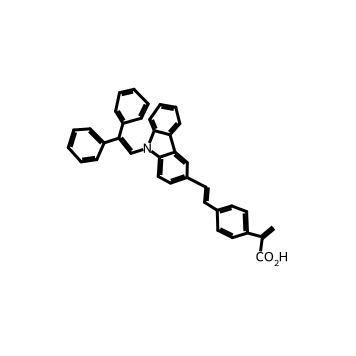 C=C(C(=O)O)c1ccc(C=Cc2ccc3c(c2)c2ccccc2n3C=C(c2ccccc2)c2ccccc2)cc1